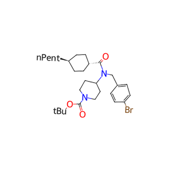 CCCCC[C@H]1CC[C@H](C(=O)N(Cc2ccc(Br)cc2)C2CCN(C(=O)OC(C)(C)C)CC2)CC1